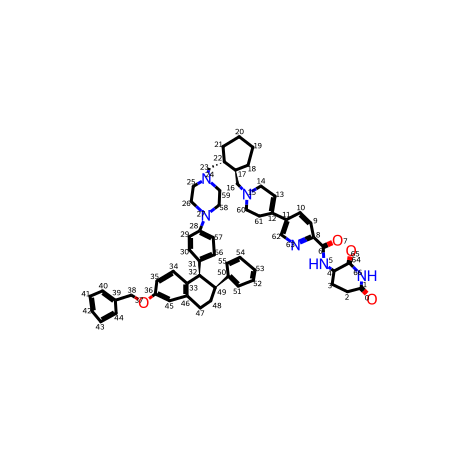 O=C1CCC(NC(=O)c2ccc(C3=CCN(C[C@@H]4CCCC[C@H]4CN4CCN(c5ccc([C@@H]6c7ccc(OCc8ccccc8)cc7CC[C@@H]6c6ccccc6)cc5)CC4)CC3)cn2)C(=O)N1